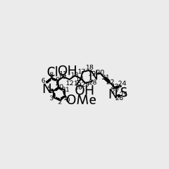 COc1ccc2ncc(Cl)c([C@@H](O)CCC3(CO)CCN(CC#Cc4cscn4)CC3)c2c1